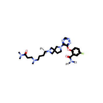 CCN(C(=O)c1cc(F)ccc1Oc1nncnc1N1CCC2(C1)CN([C@H](CCCN(C)CCC(=O)N(C)C)C(C)C)C2)C(C)C